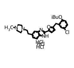 CC(C)COc1ccc(Cl)cc1Cc1ccc(-c2nc3cc(CCN4CCN(C)CC4)ccc3[nH]2)o1.Cl.Cl.Cl